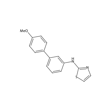 COc1ccc(-c2cccc(Nc3nccs3)c2)cc1